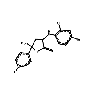 CC1(c2ccc(F)cc2)CC(Nc2ccc(Br)cc2Cl)C(=O)O1